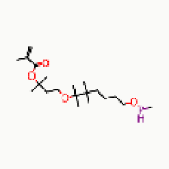 C=C(C)C(=O)OC(C)(C)CCOC(C)(C)C(C)(C)CCCCOPC